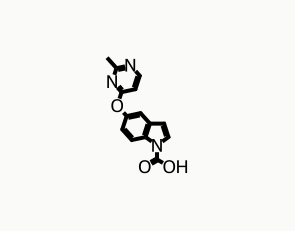 Cc1nccc(Oc2ccc3c(ccn3C(=O)O)c2)n1